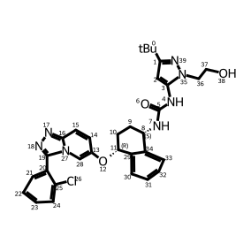 CC(C)(C)c1cc(NC(=O)N[C@H]2CC[C@@H](Oc3ccc4nnc(-c5ccccc5Cl)n4c3)c3ccccc32)n(CCO)n1